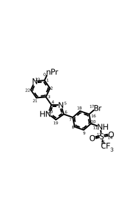 CCCc1cc(-c2nc(-c3ccc(NS(=O)(=O)C(F)(F)F)c(Br)c3)c[nH]2)ccn1